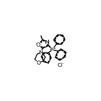 Cc1nc([P+](c2ccccc2)(c2ccccc2)c2ccccc2)c(N2CCOCC2)o1.[Cl-]